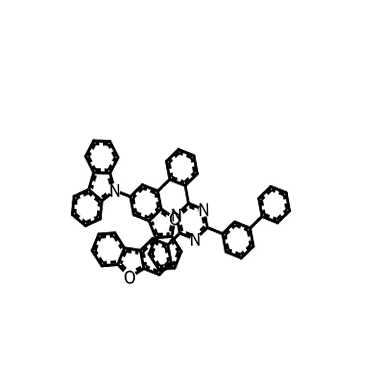 c1ccc(-c2cccc(-c3nc(-c4ccc5oc6ccccc6c5c4)nc(-c4ccccc4-c4cc(-n5c6ccccc6c6ccccc65)cc5c4oc4ccccc45)n3)c2)cc1